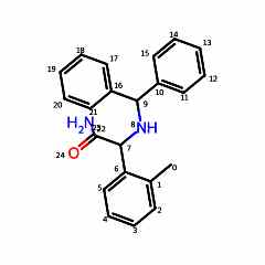 Cc1ccccc1C(NC(c1ccccc1)c1ccccc1)C(N)=O